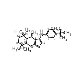 C[C@H]1c2c(Nc3ccc(C(C)(C)C)cc3)csc2CC2C1C(C)(C)CCC2(C)C